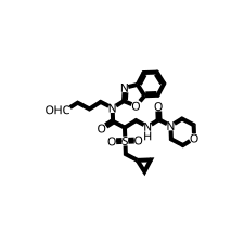 O=CCCCN(C(=O)C(CNC(=O)N1CCOCC1)S(=O)(=O)CC1CC1)c1nc2ccccc2o1